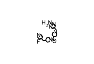 Nc1ncc(CN2CCC(C(=O)N3CCC(Cc4ccncc4F)CC3)CC2)cn1